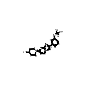 FC1CCN(c2ccn3cc(-c4cccc(OC(F)(F)F)c4)nc3n2)CC1